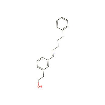 OCCc1cccc(/C=C/CCCc2ccccc2)c1